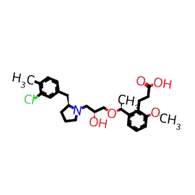 COc1cccc([C@@H](C)OC[C@H](O)CN2CCC[C@H]2Cc2ccc(C)c(Cl)c2)c1CCC(=O)O